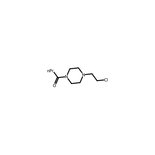 CCCC(=O)N1CCN(CCCl)CC1